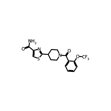 NC(=O)c1csc(C2CCN(C(=O)c3ccccc3OC(F)(F)F)CC2)n1